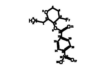 NCC1OCCC(F)C1OC(=O)c1ccc([N+](=O)[O-])cc1